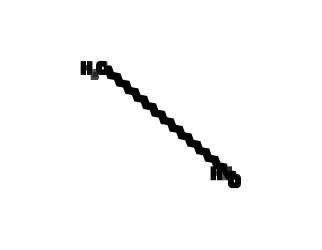 CCCCCCCCCCCCCCCCCCCCCCCCCCCCNC=O